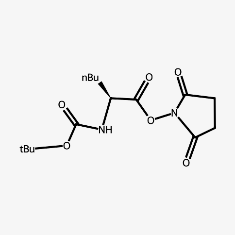 CCCC[C@H](NC(=O)OC(C)(C)C)C(=O)ON1C(=O)CCC1=O